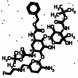 CC(C)(C)OC(=O)N[C@H]1C[C@@H](NC(=O)OCc2ccccc2)C(O[C@H]2OCC(C)(O)[C@H](NC(=O)OC(C)(C)C)C2O)C(O)C1O[C@H]1O[C@H](CNCCF)CCC1N